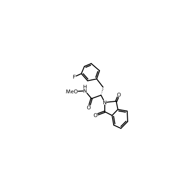 CONC(=O)[C@H](Cc1cccc(F)c1)N1C(=O)c2ccccc2C1=O